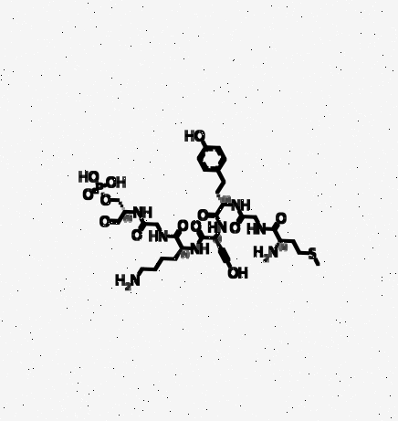 CSCC[C@H](N)C(=O)NCC(=O)N[C@@H](CCc1ccc(O)cc1)C(=O)N[C@@H](C#CO)C(=O)N[C@@H](CCCCN)C(=O)NCC(=O)N[C@H](C=O)COP(=O)(O)O